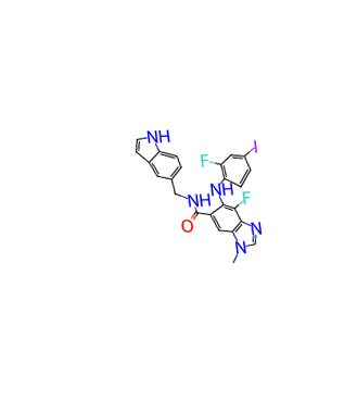 Cn1cnc2c(F)c(Nc3ccc(I)cc3F)c(C(=O)NCc3ccc4[nH]ccc4c3)cc21